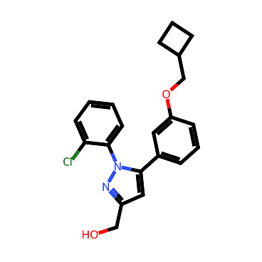 OCc1cc(-c2cccc(OCC3CCC3)c2)n(-c2ccccc2Cl)n1